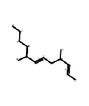 [CH2]/C=C/C(C)C/C=C/C(C)CCCC